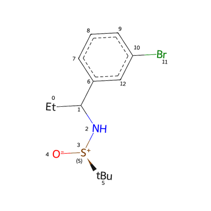 CCC(N[S@+]([O-])C(C)(C)C)c1cccc(Br)c1